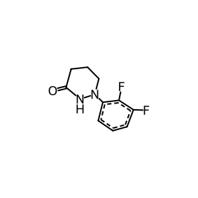 O=C1CCCN(c2cccc(F)c2F)N1